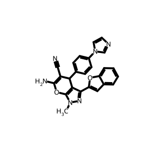 Cn1nc(-c2cc3ccccc3o2)c2c1OC(N)=C(C#N)C2c1ccc(-n2ccnc2)cc1